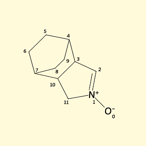 [O-][N+]1=CC2C3CCC(CC3)C2C1